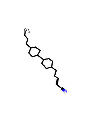 CCCCC1CCC(C2CCC(CCC=CC#N)CC2)CC1